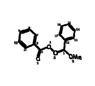 COC(OOC(=O)c1ccccc1)c1ccccc1